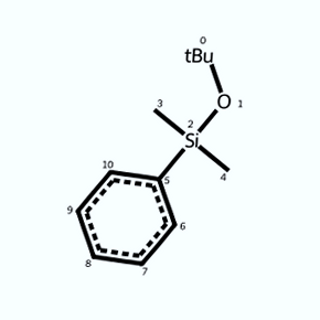 CC(C)(C)O[Si](C)(C)c1ccccc1